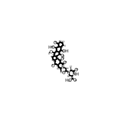 COc1c2ccc3c(=O)c4cc(C)n(CC(=O)N5C[C@@H](C(=O)O)NC(=O)[C@@H]5C)c(=O)c4c(=O)c3c2c(=O)c2c(O)c3cccc(=O)c3c(O)c12